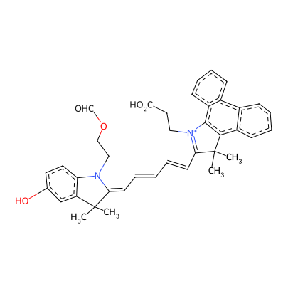 CC1(C)C(/C=C/C=C/C=C2\N(CCOC=O)c3ccc(O)cc3C2(C)C)=[N+](CCC(=O)O)c2c1c1ccccc1c1ccccc21